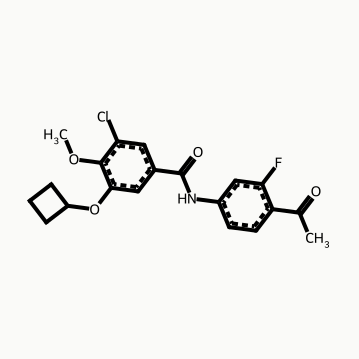 COc1c(Cl)cc(C(=O)Nc2ccc(C(C)=O)c(F)c2)cc1OC1CCC1